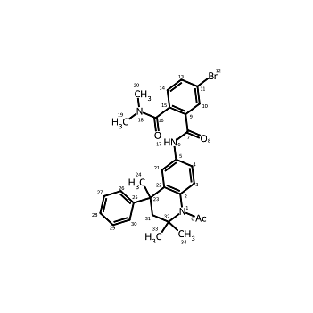 CC(=O)N1c2ccc(NC(=O)c3cc(Br)ccc3C(=O)N(C)C)cc2C(C)(c2ccccc2)CC1(C)C